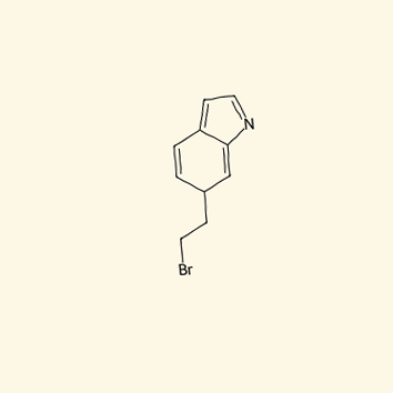 BrCCC1C=CC2=CC=NC2=C1